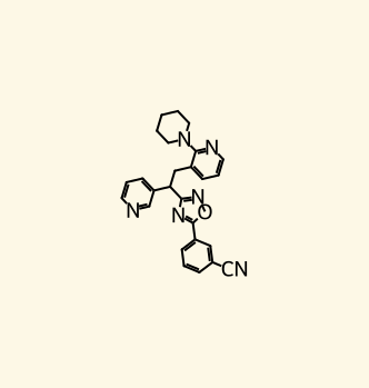 N#Cc1cccc(-c2nc(C(Cc3cccnc3N3CCCCC3)c3cccnc3)no2)c1